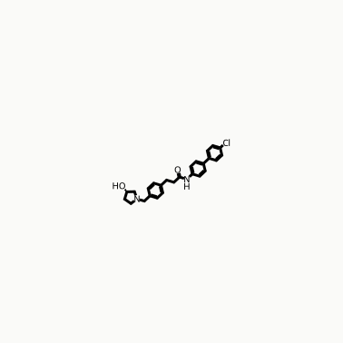 O=C(CCc1ccc(CN2CC[C@@H](O)C2)cc1)Nc1ccc(-c2ccc(Cl)cc2)cc1